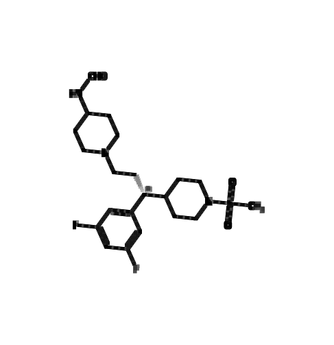 CS(=O)(=O)N1CCC([C@@H](CCN2CCC(NC=O)CC2)c2cc(F)cc(F)c2)CC1